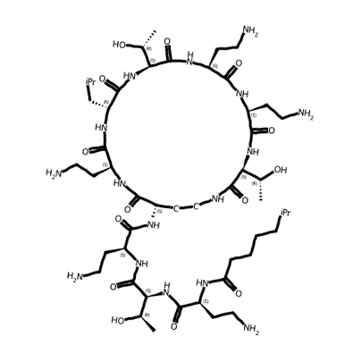 CC(C)CCCCC(=O)N[C@@H](CCN)C(=O)N[C@H](C(=O)N[C@@H](CCN)C(=O)N[C@H]1CCNC(=O)[C@H]([C@@H](C)O)NC(=O)[C@H](CCN)NC(=O)[C@H](CCN)NC(=O)[C@H]([C@@H](C)O)NC(=O)[C@@H](CC(C)C)NC(=O)[C@H](CCN)NC1=O)[C@@H](C)O